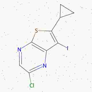 Clc1cnc2sc(C3CC3)c(I)c2n1